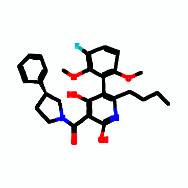 CCCCc1nc(O)c(C(=O)N2CC[C@H](c3ccccc3)C2)c(O)c1-c1c(OC)ccc(F)c1OC